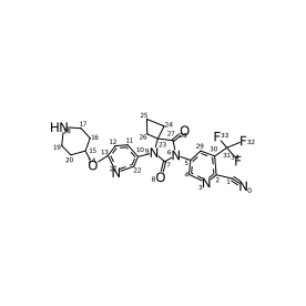 N#Cc1ncc(N2C(=O)N(c3ccc(OC4CCNCC4)nc3)C3(CCC3)C2=O)cc1C(F)(F)F